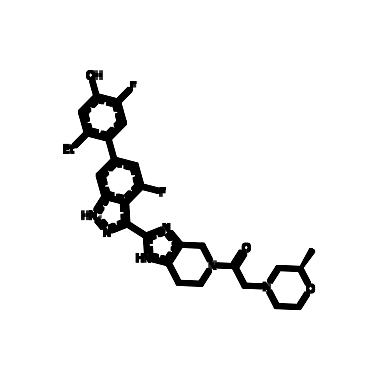 CCc1cc(O)c(F)cc1-c1cc(F)c2c(-c3nc4c([nH]3)CCN(C(=O)CN3CCO[C@H](C)C3)C4)n[nH]c2c1